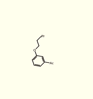 CC(=O)c1cccc(OCCC(C)C)c1